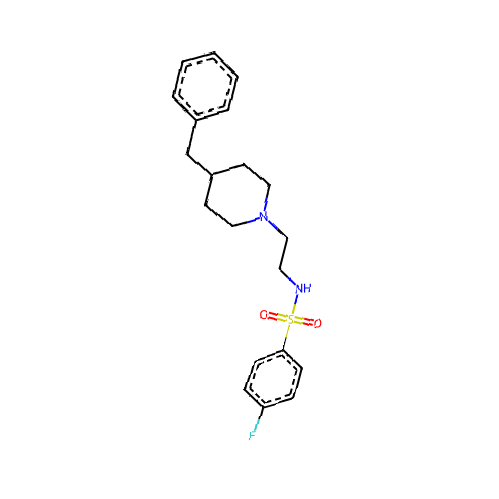 O=S(=O)(NCCN1CCC(Cc2ccccc2)CC1)c1ccc(F)cc1